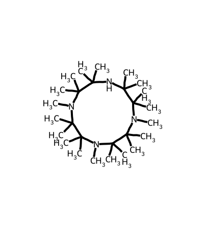 CN1C(C)(C)C(C)(C)NC(C)(C)C(C)(C)N(C)C(C)(C)C(C)(C)N(C)C(C)(C)C1(C)C